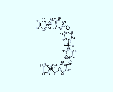 CC(C)(c1ccc(Oc2ccc(CC3CC4C=CC3C4)cc2)cc1)c1ccc(Oc2ccc(CC3CC4C=CC3C4)cc2)cc1